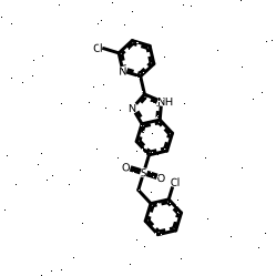 O=S(=O)(Cc1ccccc1Cl)c1ccc2[nH]c(-c3cccc(Cl)n3)nc2c1